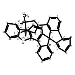 CC1(C)CB(c2cccc3c2C2(c4ccccc4-3)c3ccccc3-c3c2ccc2c3oc3ccccc32)CC1(C)C